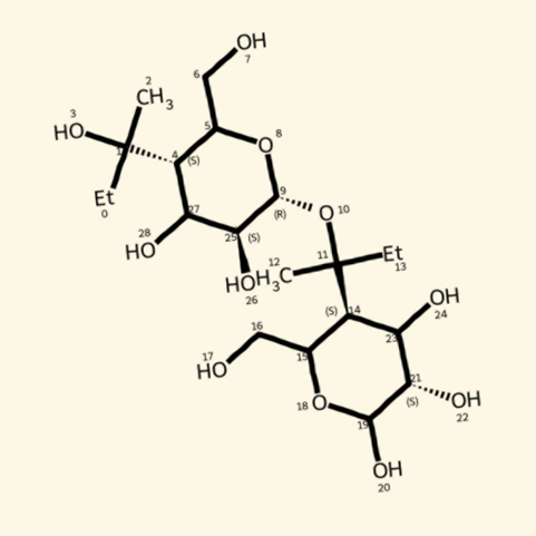 CCC(C)(O)[C@@H]1C(CO)O[C@H](OC(C)(CC)[C@@H]2C(CO)OC(O)[C@@H](O)C2O)[C@@H](O)C1O